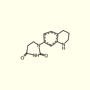 O=C1CCN(c2ccc3c(c2)NCCC3)C(=O)N1